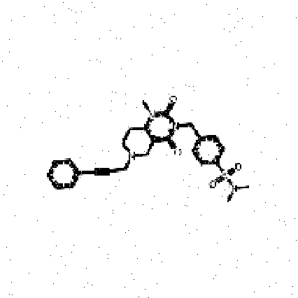 CN(C)S(=O)(=O)c1ccc(Cn2c(=O)c3c(n(C)c2=O)CCN(CC#Cc2ccccc2)C3)cc1